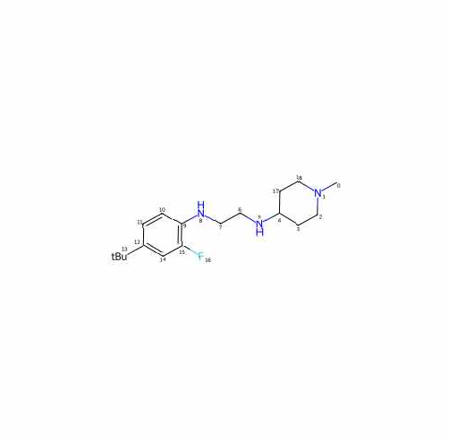 CN1CCC(NCCNc2ccc(C(C)(C)C)cc2F)CC1